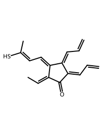 C=CC=C1C(=C/C=C(\C)S)/C(=C\C)C(=O)/C1=C/C=C